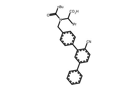 CCCCC(=O)N(Cc1ccc(-c2cc(-c3ccccc3)ccc2C#N)cc1)C(C(=O)O)C(C)C